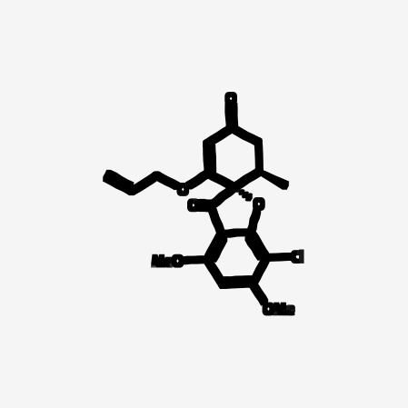 C=CCOC1=CC(=O)C[C@@H](C)[C@]12Oc1c(Cl)c(OC)cc(OC)c1C2=O